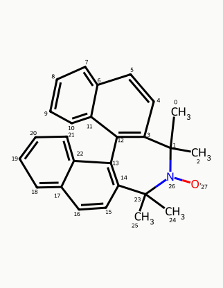 CC1(C)c2ccc3ccccc3c2-c2c(ccc3ccccc23)C(C)(C)N1[O]